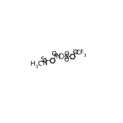 Cc1nc(-c2cccc(C(=O)N3CCC(S(=O)(=O)c4cccc(OC(F)(F)F)c4)CC3)c2)cs1